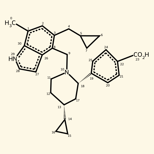 Cc1cc(CC2CC2)c(CN2CC[C@@H](C3CC3)C[C@H]2c2ccc(C(=O)O)cc2)c2cc[nH]c12